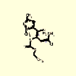 CCSC(=O)OC(/C=C(\N)Cl)=C(/N)c1cc(C)nn1C